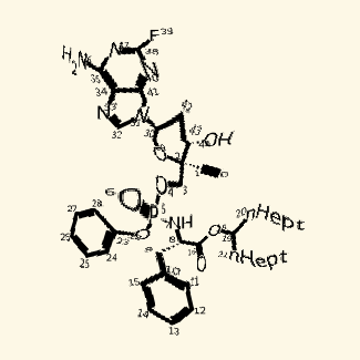 C#C[C@]1(CO[P@@](=O)(N[C@@H](Cc2ccccc2)C(=O)OC(CCCCCCC)CCCCCCC)Oc2ccccc2)O[C@@H](n2cnc3c(N)nc(F)nc32)C[C@@H]1O